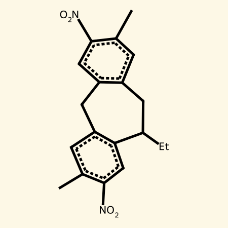 CCC1Cc2cc(C)c([N+](=O)[O-])cc2Cc2cc(C)c([N+](=O)[O-])cc21